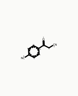 N#CCC(=O)c1ccc(C#N)cc1